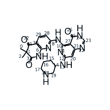 CC1(C)C(=O)Nc2nc(Nc3nc(N[C@H]4CCCNC4)cc4nc[nH]c(=O)c34)ccc2C1=O